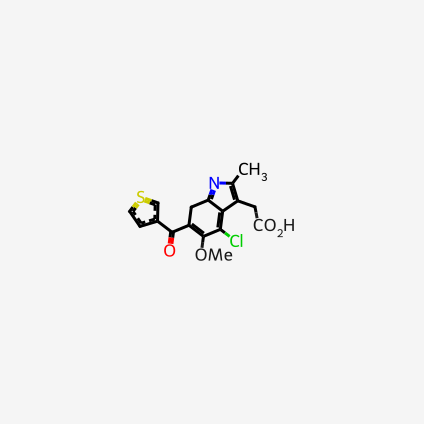 COC1=C(C(=O)c2ccsc2)CC2=NC(C)=C(CC(=O)O)C2=C1Cl